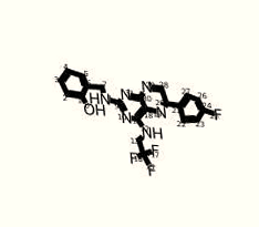 Oc1ccccc1CNc1nc(NCC(F)(F)F)c2nc(-c3ccc(F)cc3)cnc2n1